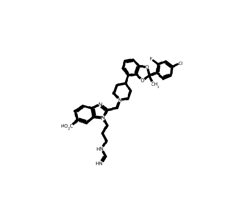 CC1(c2ccc(Cl)cc2F)Oc2cccc(C3CCN(Cc4nc5ccc(C(=O)O)cc5n4CCCNC=N)CC3)c2O1